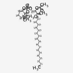 CCCCCCCCCCCCCCCCCCOC(C)C(COP1(=O)OC2CCC[N+](C)(C)C2O1)OC(C)=O